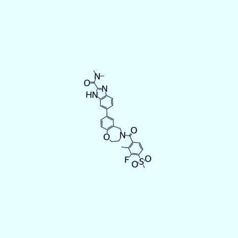 Cc1c(C(=O)N2CCOc3ccc(-c4ccc5nc(C(=O)N(C)C)[nH]c5c4)cc3C2)ccc(S(C)(=O)=O)c1F